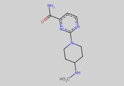 NC(=O)c1ccnc(N2CCC(NC(=O)O)CC2)n1